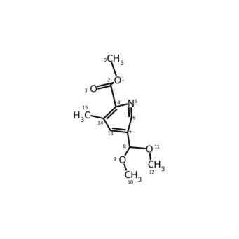 COC(=O)c1ncc(C(OC)OC)cc1C